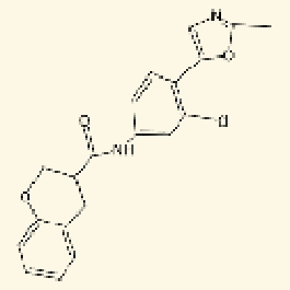 Cc1ncc(-c2ccc(NC(=O)C3COc4ccccc4C3)cc2Cl)o1